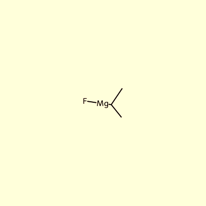 C[CH](C)[Mg][F]